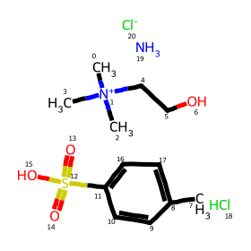 C[N+](C)(C)CCO.Cc1ccc(S(=O)(=O)O)cc1.Cl.N.[Cl-]